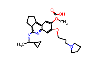 COc1cc2c3c(c(NC(C)C4CC4)nc2cc1OCCCN1CCCC1)CCC3.O=CO